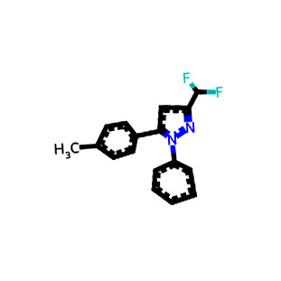 Cc1ccc(-c2cc(C(F)F)nn2-c2ccccc2)cc1